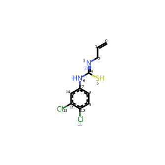 C=CC/N=C(\S)Nc1ccc(Cl)c(Cl)c1